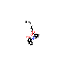 CC(C)CCCCCCOC(=O)c1ccccc1/N=N/c1c(O)ccc2ccccc12